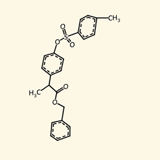 Cc1ccc(S(=O)(=O)Oc2ccc(C(C)C(=O)OCc3ccccc3)cc2)cc1